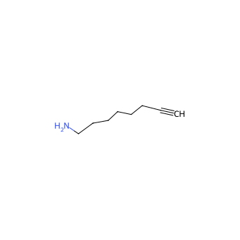 C#CCCCCCCN